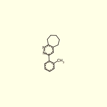 Cc1ccccc1-c1cc2c(nn1)CCCCC2